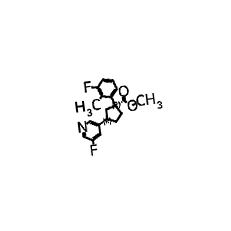 COC(=O)[C@]1(c2cccc(F)c2C)CC[C@@H](c2cncc(F)c2)C1